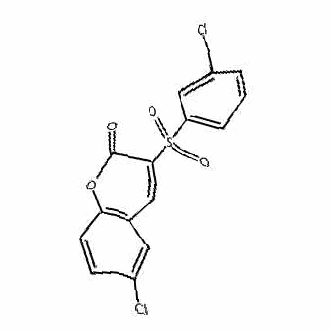 O=c1oc2ccc(Cl)cc2cc1S(=O)(=O)c1cccc(Cl)c1